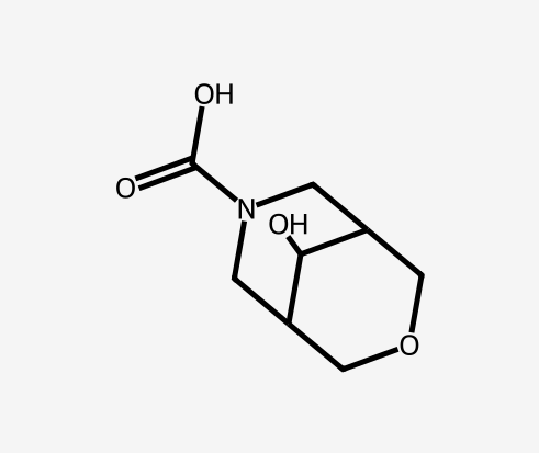 O=C(O)N1CC2COCC(C1)C2O